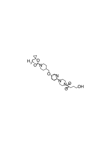 CC1(OC(=O)N2CCC(COc3ccc(N4CCN(S(=O)(=O)CCCO)CC4)nc3)CC2)CC1